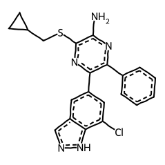 Nc1nc(-c2ccccc2)c(-c2cc(Cl)c3[nH]ncc3c2)nc1SCC1CC1